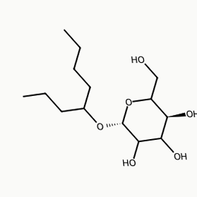 CCCCC(CCC)O[C@@H]1OC(CO)[C@@H](O)C(O)C1O